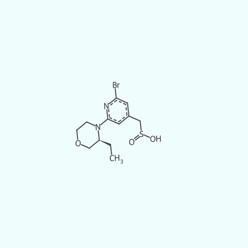 CC[C@H]1COCCN1c1cc(CS(=O)O)cc(Br)n1